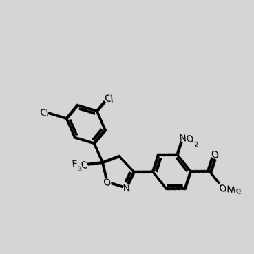 COC(=O)c1ccc(C2=NOC(c3cc(Cl)cc(Cl)c3)(C(F)(F)F)C2)cc1[N+](=O)[O-]